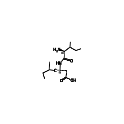 CCC(C)C[C@@H](CC(=O)O)NC(=O)[C@@H](N)C(C)CC